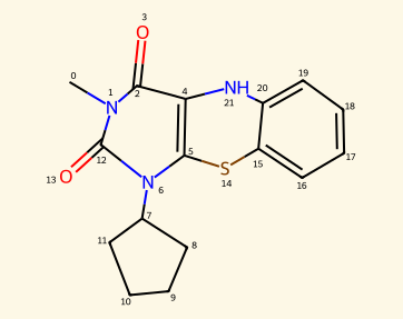 Cn1c(=O)c2c(n(C3CCCC3)c1=O)Sc1ccccc1N2